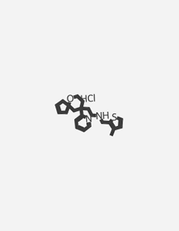 Cc1ccsc1CNCCC1(c2ccccn2)CCOC2(CC=CC2)C1.Cl